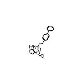 O=COC1=C(NC(=O)CCc2ccc(-c3ccccc3)cc2)CCC1